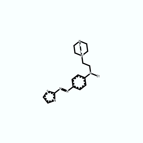 CCN(CC[N+]12CCN(CC1)CC2)c1ccc(N=Nc2nccs2)cc1